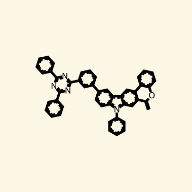 C=C1Oc2ccccc2-c2cc3c4cc(-c5cccc(-c6nc(-c7ccccc7)nc(-c7ccccc7)n6)c5)ccc4n(-c4ccccc4)c3cc21